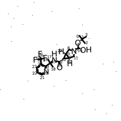 CC(C)(C)OC(O)N1C[C@@H]2[C@H](C1)[C@H]2C(=O)NC(C)(C)c1ncccc1C(F)(F)F